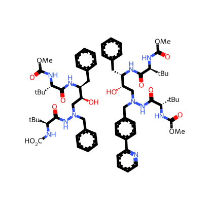 COC(=O)N[C@H](C(=O)N[C@@H](Cc1ccccc1)[C@@H](O)CN(Cc1ccc(-c2ccccn2)cc1)NC(=O)[C@@H](NC(=O)OC)C(C)(C)C)C(C)(C)C.COC(=O)N[C@H](C(=O)N[C@@H](Cc1ccccc1)[C@@H](O)CN(Cc1ccccc1)NC(=O)[C@@H](NC(=O)O)C(C)(C)C)C(C)(C)C